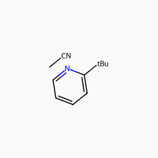 CC#N.CC(C)(C)c1ccccn1